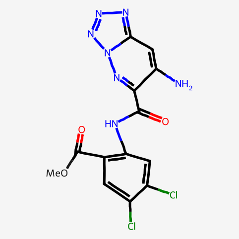 COC(=O)c1cc(Cl)c(Cl)cc1NC(=O)c1nn2nnnc2cc1N